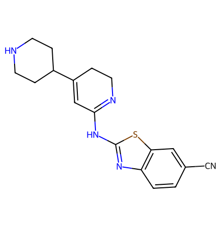 N#Cc1ccc2nc(NC3=NCCC(C4CCNCC4)=C3)sc2c1